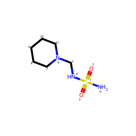 NS(=O)(=O)NCN1CCCCC1